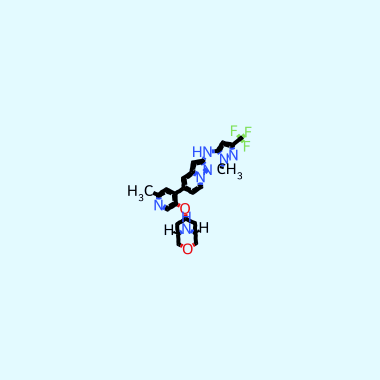 Cc1cc(-c2ccn3nc(Nc4cc(C(F)(F)F)nn4C)cc3c2)c(OC2C[C@H]3COC[C@@H](C2)N3)cn1